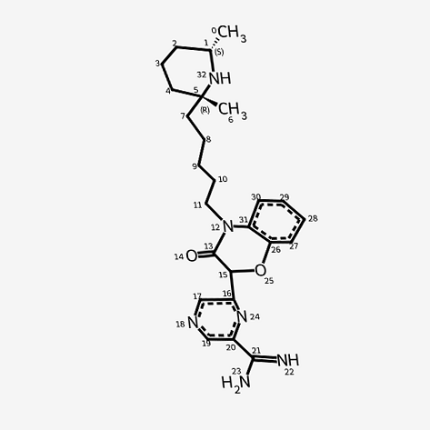 C[C@H]1CCC[C@@](C)(CCCCCN2C(=O)C(c3cncc(C(=N)N)n3)Oc3ccccc32)N1